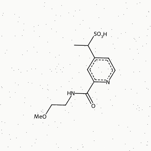 COCCNC(=O)c1cc(C(C)S(=O)(=O)O)ccn1